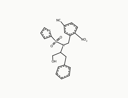 N#Cc1ccc([N+](=O)[O-])c(CN(C(CO)Cc2ccccc2)S(=O)(=O)c2cccs2)c1